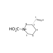 C=C[C@@H]1CCCN(C(=O)O)C1